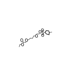 CCOC(=O)COCCCCOCCOS(=O)(=O)c1ccc(C)cc1